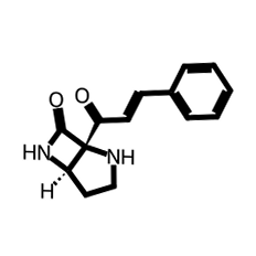 O=C(C=Cc1ccccc1)[C@@]12NCC[C@H]1NC2=O